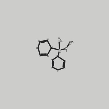 CCCO[Si](C1C=CCC=C1)(C1C=CCC=C1)C(C)(C)C